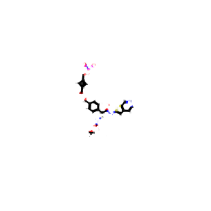 CC(C)(C)OC(=O)NC[C@@H](C(=O)Nc1cc2ccncc2s1)c1ccc(COC(=O)C23CC(CO[N+](=O)[O-])(C2)C3)cc1